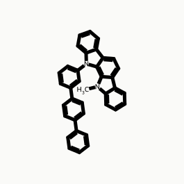 Cn1c2ccccc2c2ccc3c4ccccc4n(-c4cccc(-c5ccc(-c6ccccc6)cc5)c4)c3c21